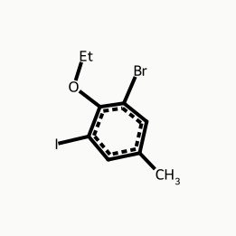 CCOc1c(Br)cc(C)cc1I